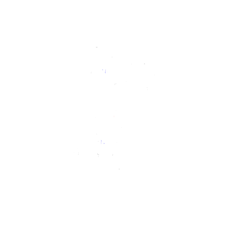 CC(CC1CN(C2(CC(C)(C)C)CCCCC2)CCO1)CC(c1ccccc1)N1CCCC1